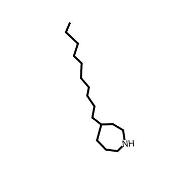 CCCCCCCCCCC1CCCNCC1